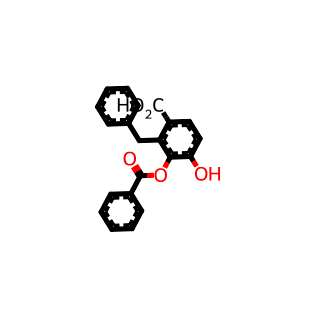 O=C(Oc1c(O)ccc(C(=O)O)c1Cc1ccccc1)c1ccccc1